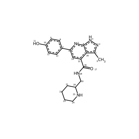 Cc1n[nH]c2nc(-c3ccc(O)cc3)cc(C(=O)NCC3CCCCN3)c12